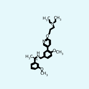 CCN(CC)CCCOc1ccc(-c2cc(CN[C@H](C)c3cccc(OC)c3)ccc2OC)cn1